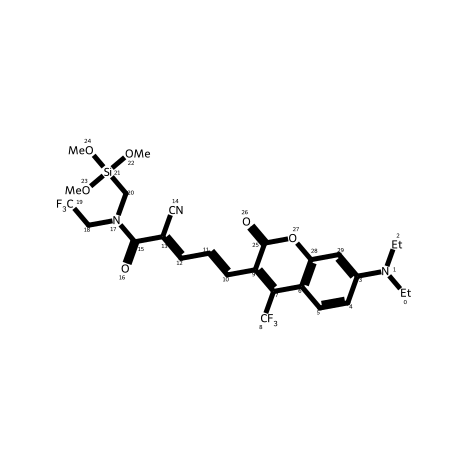 CCN(CC)c1ccc2c(C(F)(F)F)c(/C=C/C=C(\C#N)C(=O)N(CC(F)(F)F)C[Si](OC)(OC)OC)c(=O)oc2c1